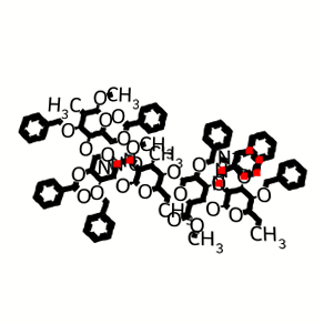 CCC1O[C@@H](O[C@H]2C(C(=O)OC)O[C@@H](O[C@@H]3C(COC(=O)c4ccccc4)O[C@H](OC)C(C)[C@@H]3OCc3ccccc3)C(OC(=O)c3ccccc3)[C@H]2OCc2ccccc2)C(N=[N+]=[N-])[C@@H](C)[C@@H]1O[C@@H]1OC(C(=O)OC)[C@@H](O[C@H]2OC(CC)[C@@H](OCc3ccccc3)[C@@H](OCc3ccccc3)C2N=[N+]=[N-])[C@@H](OCc2ccccc2)C1OCc1ccccc1